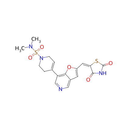 CN(C)S(=O)(=O)N1CC=C(c2cncc3cc(/C=C4/SC(=O)NC4=O)oc23)CC1